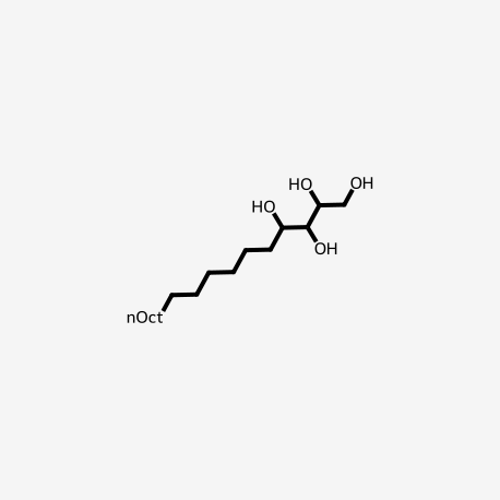 CCCCCCCCCCCCCCC(O)C(O)C(O)CO